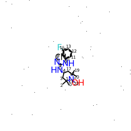 CC1(C)CC(NC(=NC#N)Nc2cccc(F)c2)CC(C)(C)N1O